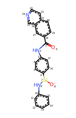 O=C(Nc1ccc([S+]([O-])Nc2ccccc2)cc1)c1ccc2ccncc2c1